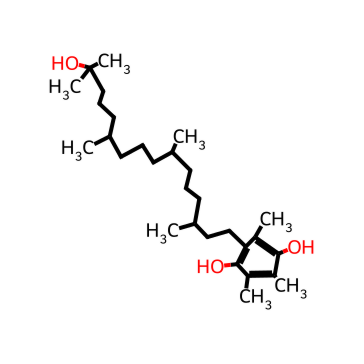 Cc1c(C)c(O)c(CCC(C)CCCC(C)CCCC(C)CCCC(C)(C)O)c(C)c1O